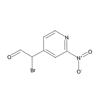 O=CC(Br)c1ccnc([N+](=O)[O-])c1